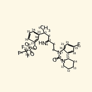 CC(CC(=N)CCN(C(=O)N1CCCCC1)c1ccc(F)cc1)c1cccc(OS(=O)(=O)C(F)(F)F)c1